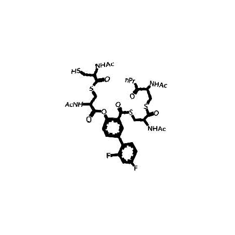 CCCC(=O)C(CSC(=O)C(CSC(=O)c1cc(-c2ccc(F)cc2F)ccc1OC(=O)C(CSC(=O)C(CS)NC(C)=O)NC(C)=O)NC(C)=O)NC(C)=O